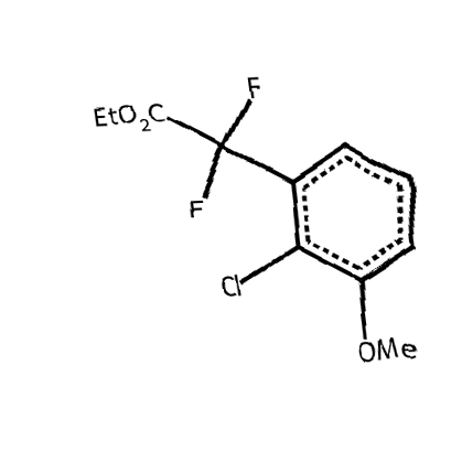 CCOC(=O)C(F)(F)c1cccc(OC)c1Cl